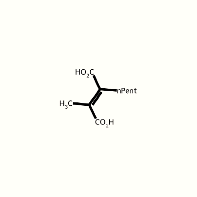 CCCCC/C(C(=O)O)=C(/C)C(=O)O